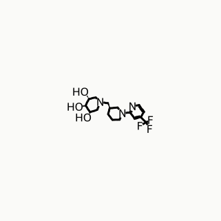 O[C@H]1[C@H](O)CN(C[C@@H]2CCCN(c3cc(C(F)(F)F)ccn3)C2)C[C@@H]1O